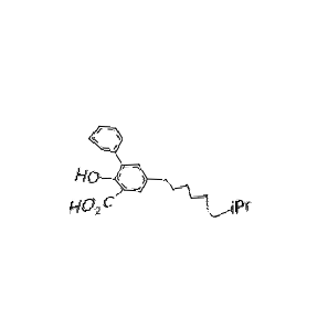 CC(C)CCCCCCc1cc(C(=O)O)c(O)c(-c2ccccc2)c1